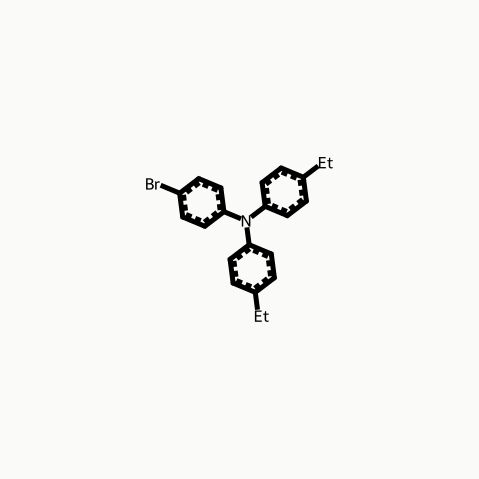 CCc1ccc(N(c2ccc(Br)cc2)c2ccc(CC)cc2)cc1